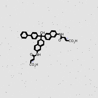 CC(c1ccc(-c2ccccc2)cc1)(c1ccc2cc(NC(=O)/C=C/C(=O)O)ccc2c1)C1C=c2ccc(NC(=O)/C=C/C(=O)O)cc2=CC1